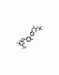 CNc1cc(C)nc(Nc2ccc(C)c(-n3cc(CN(C)C(=O)OC(C)(C)C)cn3)c2)n1